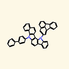 c1ccc(-c2ccc(-n3c4ccc5c6ccccc6n(-c6cc7c8c(cccc8c6)-c6ccccc6-7)c5c4c4ccc5ccccc5c43)cc2)cc1